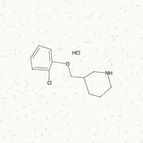 Cl.Clc1ccccc1OCC1CCCNC1